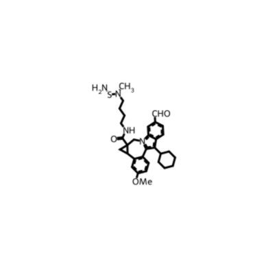 COc1ccc2c(c1)C1CC1(C(=O)NCCCCN(C)SN)Cn1c-2c(C2CCCCC2)c2ccc(C=O)cc21